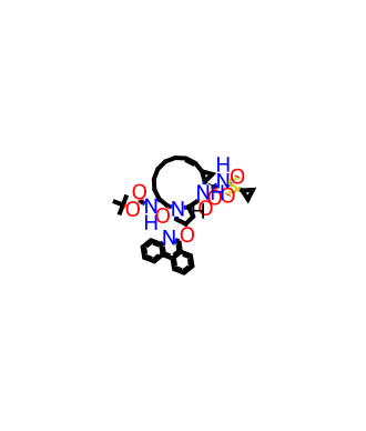 CC(C)(C)OC(=O)NC1CCCCC/C=C\C2C[C@@]2(C(=O)NS(=O)(=O)C2CC2)NC(=O)[C@@H]2C[C@@H](Oc3nc4ccccc4c4ccccc34)CN2C1=O